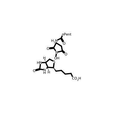 CCCCCC(N)=O.O=C(O)CCCC[C@@H]1SC[C@@H]2NC(=O)N[C@@H]21.O=C1CCC(=O)N1O